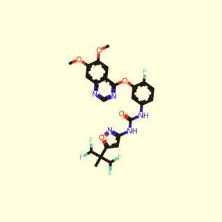 COc1cc2ncnc(Oc3cc(NC(=O)Nc4cc(C(C)(C(F)F)C(F)F)on4)ccc3F)c2cc1OC